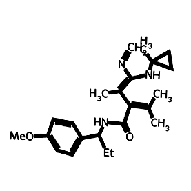 C=N/C(NC1(C)CC1)=C(\C)C(C(=O)NC(CC)c1ccc(OC)cc1)=C(C)C